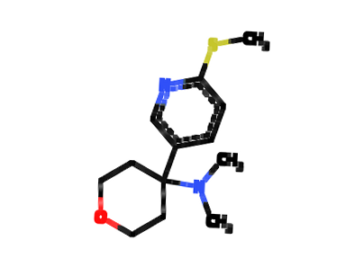 CSc1ccc(C2(N(C)C)CCOCC2)cn1